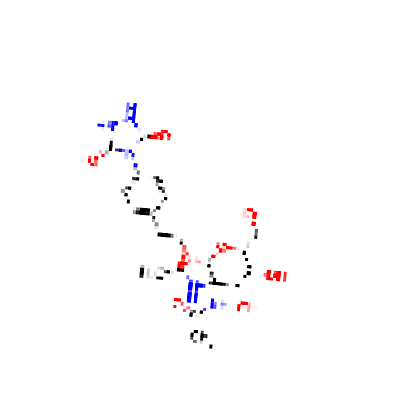 CC(=O)NC1(NC(C)=O)[C@H](OCCc2ccc(-n3c(=O)[nH][nH]c3=O)cc2)O[C@H](CO)[C@H](O)[C@@H]1O